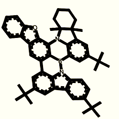 CC(C)(C)c1cc2c3c(c1)C1(C)CCCCC1(C)N3c1c3c(cc4c1oc1ccccc14)-c1cc(C(C)(C)C)cc4c5cc(C(C)(C)C)ccc5n(c14)B23